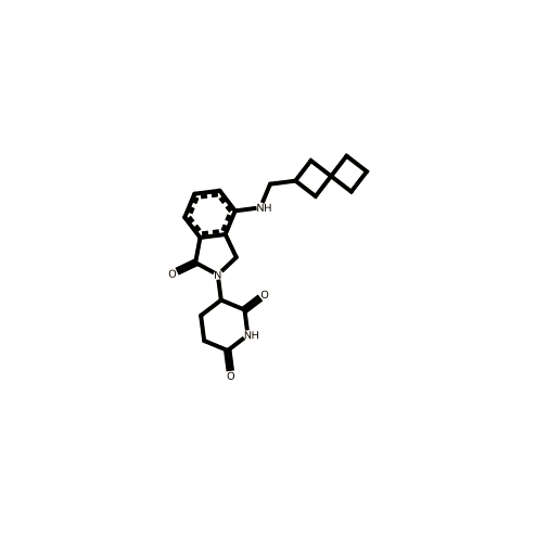 O=C1CCC(N2Cc3c(NCC4CC5(CCC5)C4)cccc3C2=O)C(=O)N1